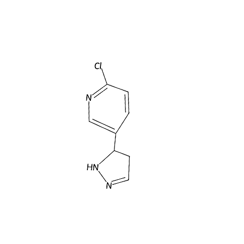 Clc1ccc(C2CC=NN2)cn1